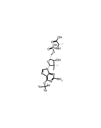 [2H]C([2H])([2H])Oc1nc(N)nc2c1ncn2[C@@H]1O[C@H](COP(=O)(O)N[C@@H](C)C(=O)O)[C@@H](O)[C@@]1(C)F